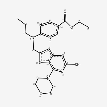 CCCN(Cc1cc2nc(Cl)nc(N3CCOCC3)c2s1)c1ncc(C(=O)OCC)cn1